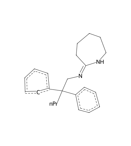 CCCC(CN=C1CCCCCN1)(c1ccccc1)c1ccccc1